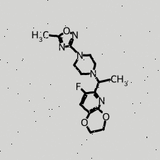 Cc1nc(N2CCN(C(C)c3nc4c(cc3F)OCCO4)CC2)no1